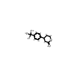 O=C1CC(c2ccc(C(F)(F)F)cc2)CCO1